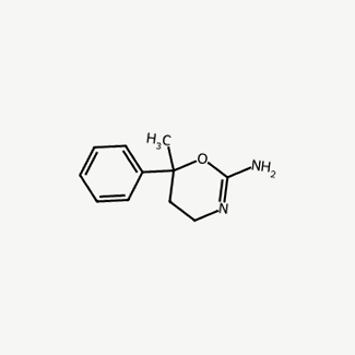 CC1(c2ccccc2)CCN=C(N)O1